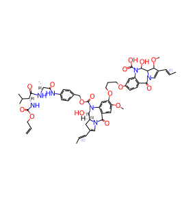 C=CCOC(=O)N[C@@H](C(=O)N[C@H](C)C(=O)Nc1ccc(COC(=O)N2c3cc(OCCCOc4ccc5c(c4)N(C(=O)O)C(O)C4C(OC)C(/C=C/C)=CN4C5=O)c(OC)cc3C(=O)N3C=C(/C=C/C)C[C@H]3[C@@H]2O)cc1)C(C)C